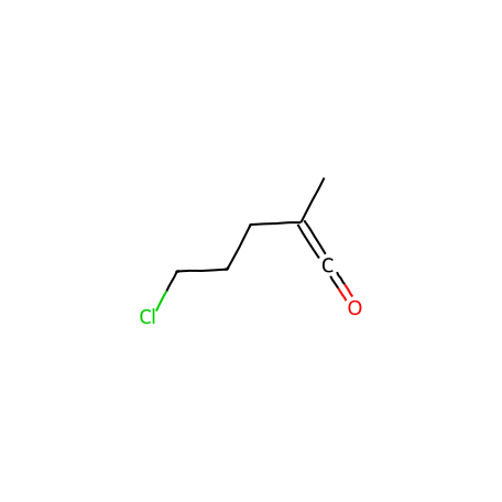 CC(=C=O)CCCCl